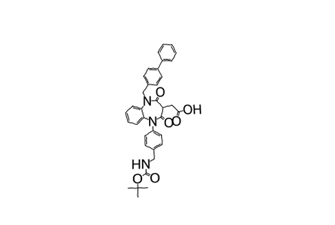 CC(C)(C)OC(=O)NCc1ccc(N2C(=O)C(CC(=O)O)C(=O)N(Cc3ccc(-c4ccccc4)cc3)c3ccccc32)cc1